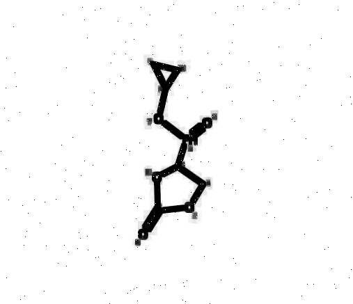 O=C1OCC([PH](=O)OC2CC2)O1